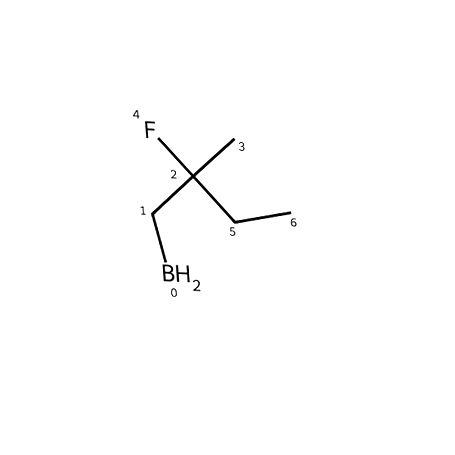 BCC(C)(F)CC